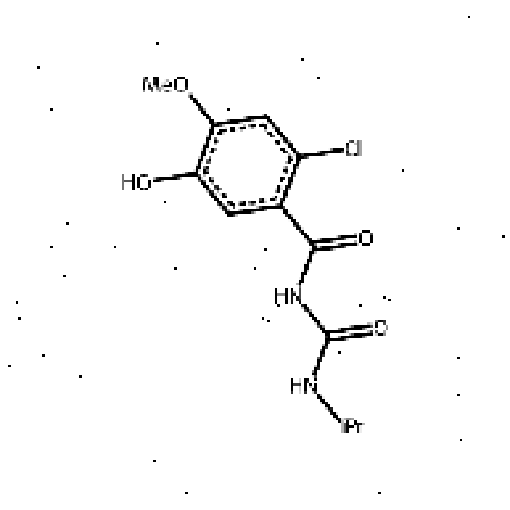 COc1cc(Cl)c(C(=O)NC(=O)NC(C)C)cc1O